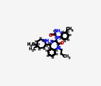 CCCN1C(=O)C(N(C(N)=O)c2cccc(C)c2)N=C(C2CCC(C)(C)CCN2)c2ccccc21